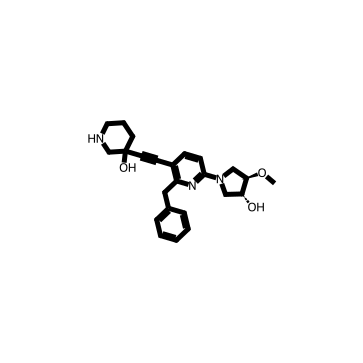 CO[C@@H]1CN(c2ccc(C#CC3(O)CCCNC3)c(Cc3ccccc3)n2)C[C@H]1O